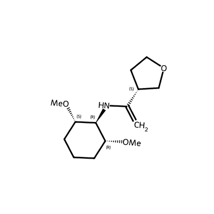 C=C(N[C@@H]1[C@@H](OC)CCC[C@H]1OC)[C@@H]1CCOC1